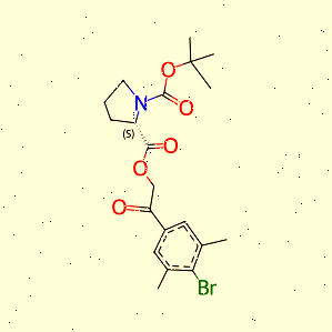 Cc1cc(C(=O)COC(=O)[C@@H]2CCCN2C(=O)OC(C)(C)C)cc(C)c1Br